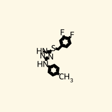 Cc1ccc(Nc2n[nH]c(SCc3ccc(F)c(F)c3)n2)cc1